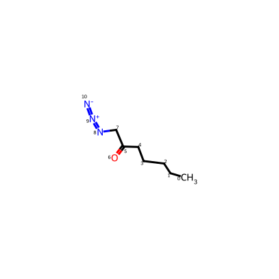 CCCCCC(=O)CN=[N+]=[N-]